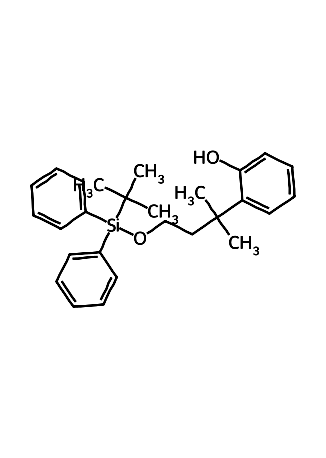 CC(C)(CCO[Si](c1ccccc1)(c1ccccc1)C(C)(C)C)c1ccccc1O